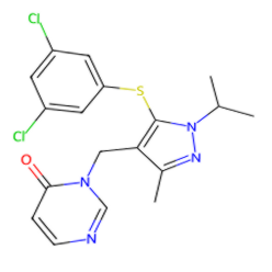 Cc1nn(C(C)C)c(Sc2cc(Cl)cc(Cl)c2)c1Cn1cnccc1=O